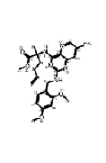 C=CCCC(C)(Nc1nc(NCc2ccc(OC)cc2OC)nc2cc(F)cnc12)C(=O)OC